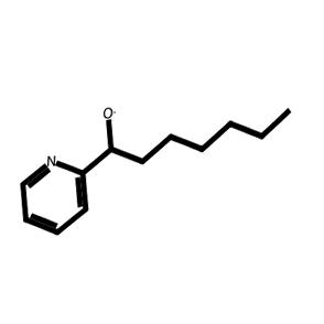 CCCCCCC([O])c1ccccn1